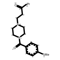 CSc1ccc(C(=O)N2CCN(CCC(=O)C(C)C)CC2)cc1